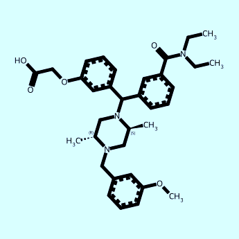 CCN(CC)C(=O)c1cccc(C(c2cccc(OCC(=O)O)c2)N2C[C@@H](C)N(Cc3cccc(OC)c3)C[C@@H]2C)c1